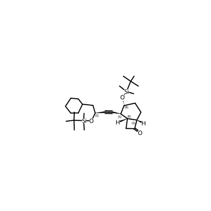 CC(C)(C)[Si](C)(C)O[C@H](C#C[C@@H]1[C@H]2CC(=O)[C@H]2CC[C@H]1O[Si](C)(C)C(C)(C)C)CC1CCCCC1